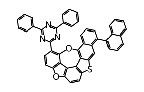 c1ccc(-c2nc(-c3ccccc3)nc(-c3ccc4oc5ccc6sc7cc8c(-c9cccc%10ccccc9%10)cccc8c8oc3c4c5c6c78)n2)cc1